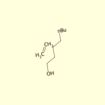 C=C.CCCCCCCCO